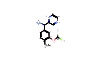 COc1ccc(C(N)c2cnccn2)cc1OC(F)F